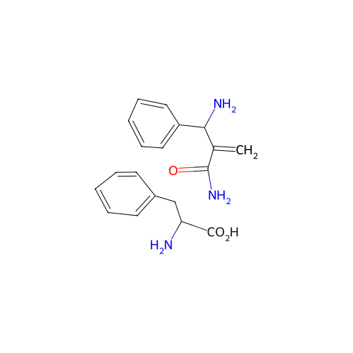 C=C(C(N)=O)C(N)c1ccccc1.NC(Cc1ccccc1)C(=O)O